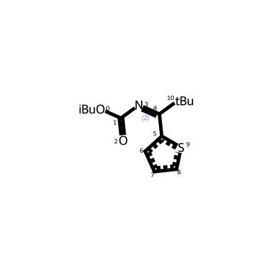 CC(C)COC(=O)/N=C(\c1cccs1)C(C)(C)C